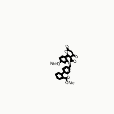 COC(=O)c1ccccc1-c1ccc(Cn2c(=O)c3c(c4ccc(OC)cc42)OC(=O)CC3=O)cc1